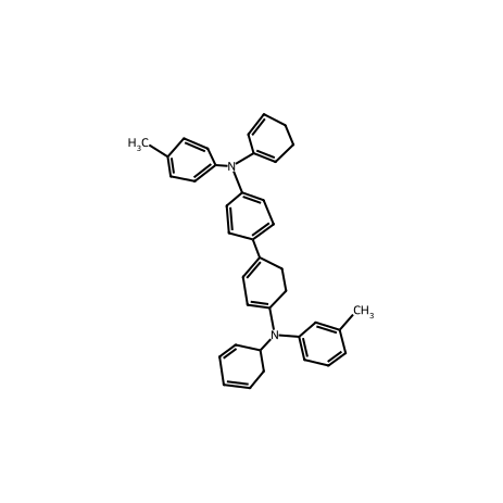 Cc1ccc(N(C2=CCCC=C2)c2ccc(C3=CC=C(N(c4cccc(C)c4)C4C=CC=CC4)CC3)cc2)cc1